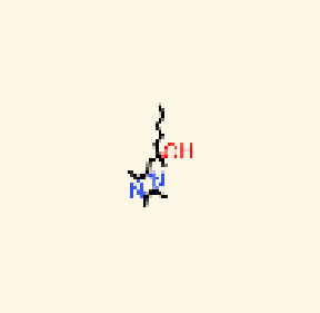 CCCCCC(C)(O)Cc1nc(C)c(C)nc1C